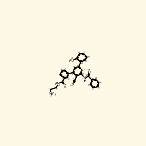 N#Cc1c(-c2cccc(C(=O)NCCN)c2)cc(-c2ccccc2O)nc1NC(=O)c1ccccc1